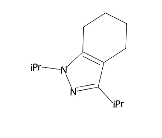 CC(C)c1nn(C(C)C)c2c1CCCC2